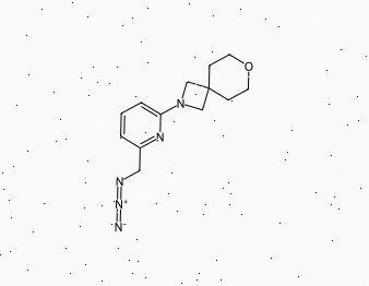 [N-]=[N+]=NCc1cccc(N2CC3(CCOCC3)C2)n1